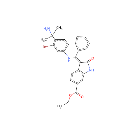 CCOC(=O)c1ccc2c(c1)NC(=O)C2=C(Nc1ccc(C(C)(C)N)c(Br)c1)c1ccccc1